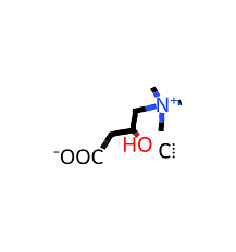 C[N+](C)(C)CC(O)CC(=O)[O-].[C]